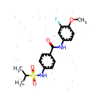 COc1ccc(NC(=O)c2ccc(NS(=O)(=O)C(C)C)cc2)cc1F